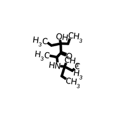 CCC(C)(CC)NC(C)C(=O)C(O)(CC)CC